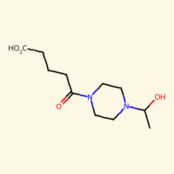 CC(O)N1CCN(C(=O)CCCC(=O)O)CC1